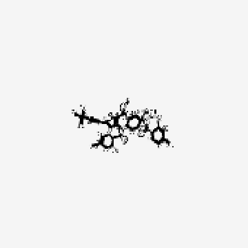 COC(=O)c1sc(C#CC(C)(C)C)cc1N(C(=O)C1CC=C(C)C[C@H]1C)[C@H]1CC[C@@](CCl)(OC(=O)[C@H]2CC=C(C)C[C@@H]2C)CC1